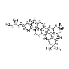 CC1(C)Cc2nc(C3CCN(c4ncc(OCC(O)CO)cn4)CC3)c(C(F)c3ccc(C(F)(F)F)cc3)c(C3CCC(F)(F)CC3)c2C(O)C1